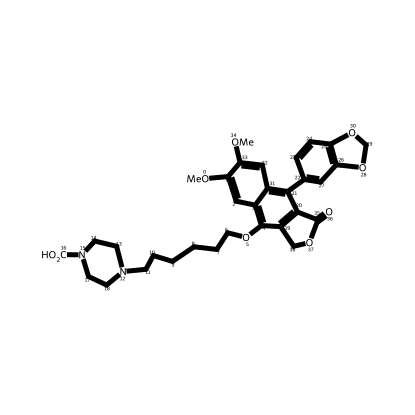 COc1cc2c(OCCCCCCN3CCN(C(=O)O)CC3)c3c(c(-c4ccc5c(c4)OCO5)c2cc1OC)C(=O)OC3